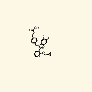 O=C(O)CCc1ccc(Cn2c(-c3cccnc3OCC3CC3)nc3cc(F)c(F)cc32)cc1